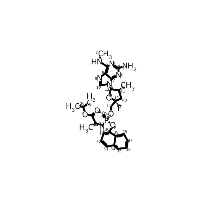 CNc1nc(N)nc2c1ncn2[C@@H]1O[C@](F)(CO[P@](=S)(N[C@@H](C)C(=O)OC(C)C)Oc2cccc3ccccc23)C[C@@H]1C